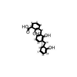 O=C(O)c1cccc(Cc2cccc(Cc3ccccc3O)c2O)c1O